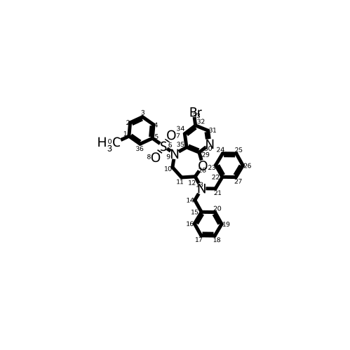 Cc1cccc(S(=O)(=O)N2CCC(N(Cc3ccccc3)Cc3ccccc3)Oc3ncc(Br)cc32)c1